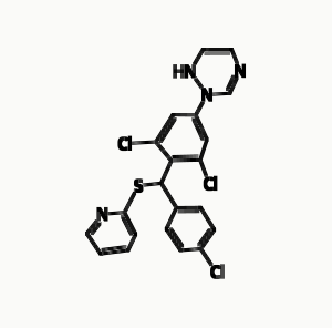 Clc1ccc(C(Sc2ccccn2)c2c(Cl)cc(N3C=NC=CN3)cc2Cl)cc1